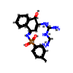 Cc1ccc(S(=O)(=O)/N=C2\C=C(NC(N)NCN)C(=O)c3ccccc32)cc1